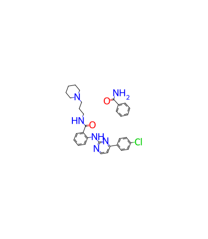 NC(=O)c1ccccc1.O=C(NCCCN1CCCCC1)c1ccccc1Nc1nccc(-c2ccc(Cl)cc2)n1